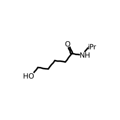 CC(C)NC(=O)CCCCO